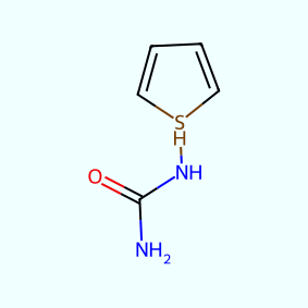 NC(=O)N[SH]1C=CC=C1